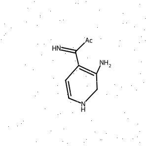 CC(=O)C(=N)C1=C(N)CNC=C1